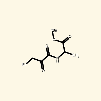 CC(C)CC(=O)C(=O)NC(C)C(=O)OC(C)(C)C